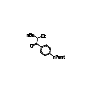 [CH2]CCCC(CC)C(=O)c1ccc(CCCCC)cc1